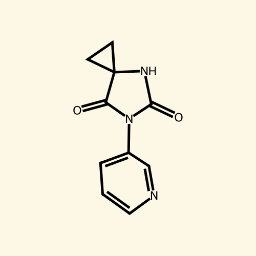 O=C1NC2(CC2)C(=O)N1c1cccnc1